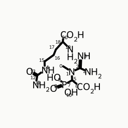 CN(C(=N)N)C(C(=O)O)P(=O)(O)O.NC(=O)NCCCC(N)C(=O)O